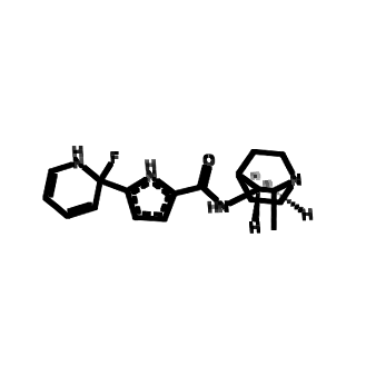 C[C@H]1[C@H](NC(=O)c2ccc(C3(F)C=CC=CN3)[nH]2)C2CCN1CC2